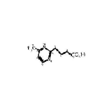 O=C(O)CCCc1nccc(C(F)(F)F)n1